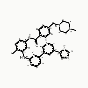 Cc1ccc(NC(=O)c2ccc(CN3CCN(C)CC3)cc2)cc1Nc1nccc(-c2cncc(-c3cnns3)c2)n1